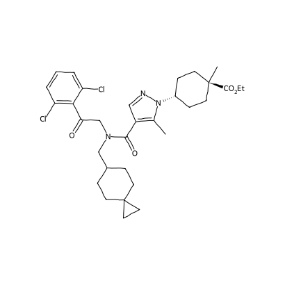 CCOC(=O)[C@]1(C)CC[C@@H](n2ncc(C(=O)N(CC(=O)c3c(Cl)cccc3Cl)CC3CCC4(CC3)CC4)c2C)CC1